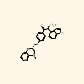 CN1C[C@@H](COc2ccc(C(=O)C(C(=O)O)c3cccc4[nH]ccc34)cc2)Oc2ccccc21